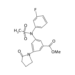 COC(=O)c1cc(N2CCCC2=O)cc(N(c2cccc(F)c2)S(C)(=O)=O)c1